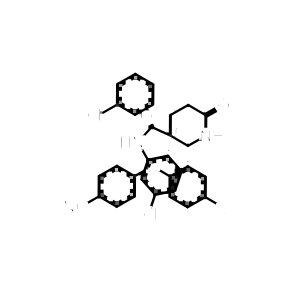 N#Cc1ccc(Oc2ccc(Cl)cc2[C@H]2NC(=O)C[C@@H](c3cccc(Cl)c3)[C@]23C(=O)Nc2cc(Cl)ccc23)cc1